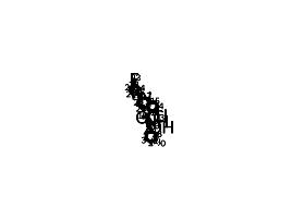 C[C@@H]1CCC[C@](O)(CNC(=O)c2c(Cl)ccc3nc(N4CCC(F)C4)ccc23)C1